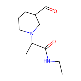 CCNC(=O)C(C)N1CCCC(C=O)C1